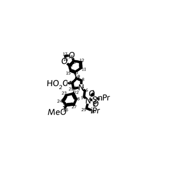 CCCS(=O)(=O)N(CCN1C[C@H](c2ccc3c(c2)OCO3)[C@H](C(=O)O)[C@H]1c1ccc(OC)cc1)CC(C)C